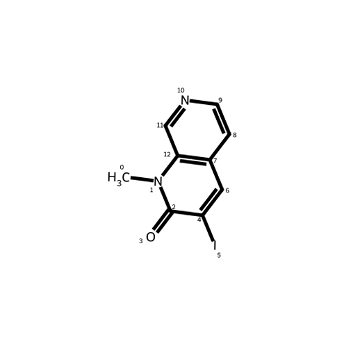 Cn1c(=O)c(I)cc2ccncc21